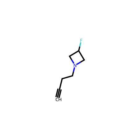 C#CCCN1CC(F)C1